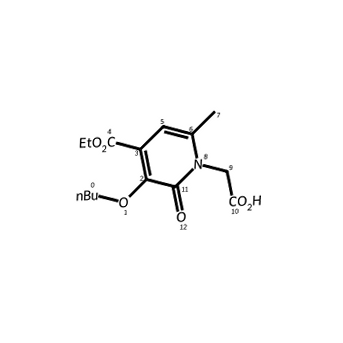 CCCCOc1c(C(=O)OCC)cc(C)n(CC(=O)O)c1=O